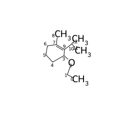 CCOC1CCCC(C)=C1C(C)C